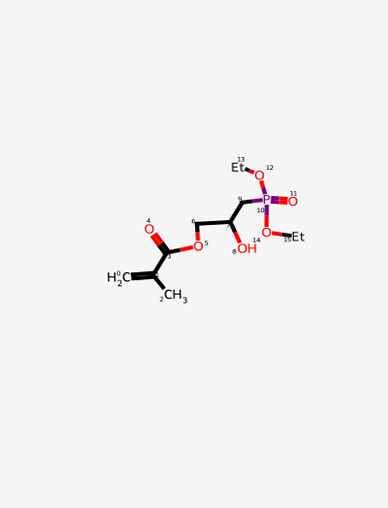 C=C(C)C(=O)OCC(O)CP(=O)(OCC)OCC